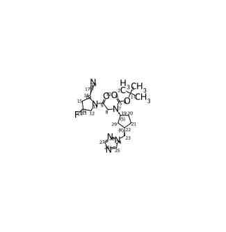 CC(C)(C)OC(=O)N(CC(=O)N1C[C@@H](F)C[C@H]1C#N)[C@H]1CC[C@@H](Cn2cncn2)C1